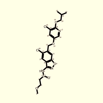 COCC[S+]([O-])Nc1noc2cc(COc3cnc(OCC(C)C)c(Cl)c3)c(Cl)cc12